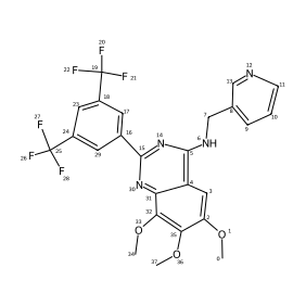 COc1cc2c(NCc3cccnc3)nc(-c3cc(C(F)(F)F)cc(C(F)(F)F)c3)nc2c(OC)c1OC